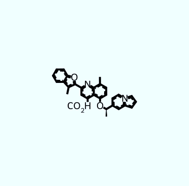 Cc1c(-c2cc(C(=O)O)c3c(O[C@H](C)c4ccn5cccc5c4)ccc(C)c3n2)oc2ccccc12